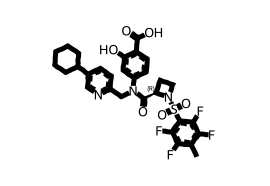 Cc1c(F)c(F)c(S(=O)(=O)N2CC[C@@H]2C(=O)N(Cc2ccc(C3CCCCC3)cn2)c2ccc(C(=O)O)c(O)c2)c(F)c1F